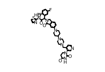 O=C1CCN(c2cnccc2CN2CCN(C3CCN(c4ccc5c(c4)C(=O)N(C(C(=O)Nc4nccs4)c4cc(F)ccc4O)C5)CC3)CC2)C(=O)N1